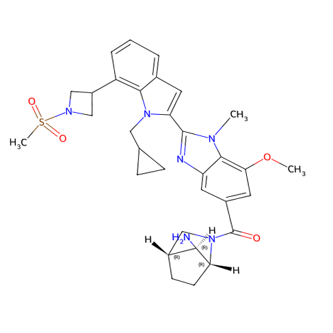 COc1cc(C(=O)N2C[C@H]3CC[C@@H]2[C@@H]3N)cc2nc(-c3cc4cccc(C5CN(S(C)(=O)=O)C5)c4n3CC3CC3)n(C)c12